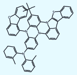 CC1=CCCC=C1N(c1ccc2c(c1)n(-c1cccc3oc4ccccc4c13)c1cc(C(C)(C)C)cc3c1-n2c1cccc2c4c5ccccc5sc4n3c21)c1ccccc1C